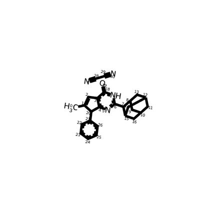 CC1=Cc2c(nc(C3C4CC5CC(C4)CC3C5)[nH]c2=O)C1c1ccccc1.N#CC#N